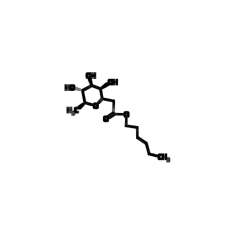 CCCCCCOC(=O)CC1O[C@@H](C)[C@H](O)[C@@H](O)[C@H]1O